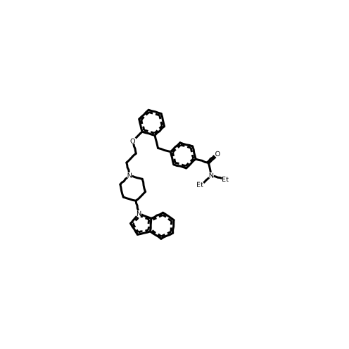 CCN(CC)C(=O)c1ccc(Cc2ccccc2OCCN2CCC(n3ccc4ccccc43)CC2)cc1